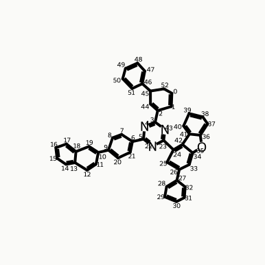 C1=CC(c2nc(-c3ccc(-c4ccc5ccccc5c4)cc3)nc(-c3cc(-c4ccccc4)cc4oc5ccccc5c34)n2)=CC(c2ccccc2)C1